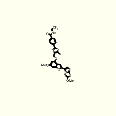 COc1cc(OCc2nc(-c3ccc(C(=O)NCC(F)(F)F)cc3)sc2C)c2cc(-c3cnc4sc(OC)nn34)oc2c1